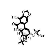 CC1(C)O[C@@H]2[C@H](O1)[C@@H](O[Si](C)(C)C(C)(C)C)C=C1c3cc4c(c(O)c3C(=O)N[C@H]12)OCO4